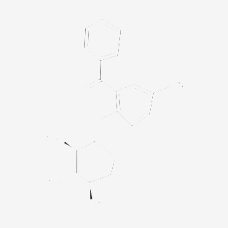 CC(=O)O[C@@H]1[C@@H](OC(C)=O)[C@H](Sc2ccc(C#N)cc2C(=O)c2ccccc2)SC[C@H]1OC(C)=O